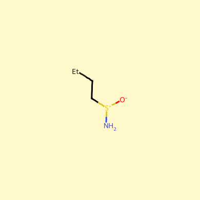 CCCC[S+](N)[O-]